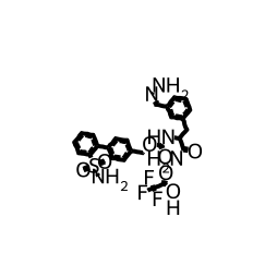 N/N=C\c1cccc(CC(NC(=O)OCc2ccc(-c3ccccc3S(N)(=O)=O)cc2)C(N)=O)c1.O=C(O)C(F)(F)F